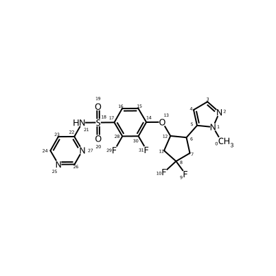 Cn1nccc1C1CC(F)(F)CC1Oc1ccc(S(=O)(=O)Nc2ccncn2)c(F)c1F